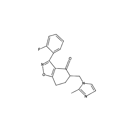 Cc1nccn1CC1CCc2onc(-c3ccccc3F)c2C1=O